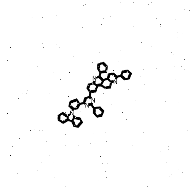 c1ccc(-c2ccc3c(ccc4c5cc(-c6cc(-c7cccc(-n8c9ccccc9c9ccccc98)c7)nc(-c7ccccc7)n6)ccc5nc(-c5ccccc5)c34)n2)cc1